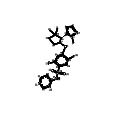 Cn1nccc1[C@@H]1[C@@H](Oc2cc(F)c(S(=O)(=O)Nc3ccncn3)cc2F)CCC1(C)C